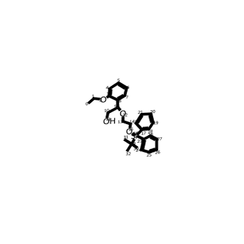 CCOc1ccccc1C(CO)OCCO[Si](c1ccccc1)(c1ccccc1)C(C)(C)C